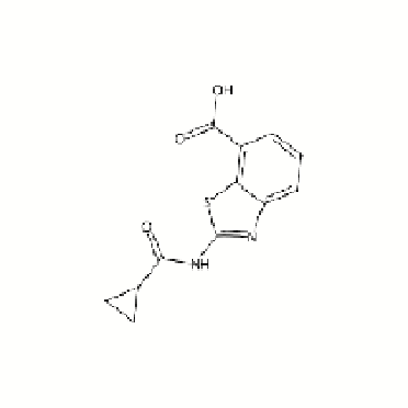 O=C(O)c1cccc2nc(NC(=O)C3CC3)sc12